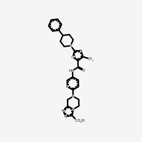 CCOC(=O)c1nnc2n1CCN(c1ccc(NC(=O)c3oc(N4CCC(c5ccccc5)CC4)nc3C(F)(F)F)cn1)C2